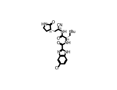 CC(C)(C)C[C@H](NC(=O)c1nc2cc(Cl)ccc2[nH]1)C(=O)N[C@H](C#N)C[C@@H]1CCNC1=O